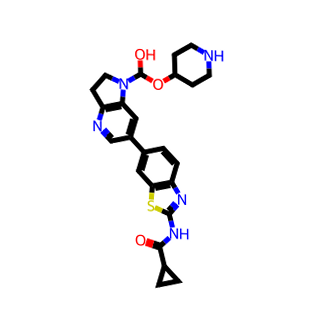 O=C(Nc1nc2ccc(-c3cnc4c(c3)N(C(O)OC3CCNCC3)CC4)cc2s1)C1CC1